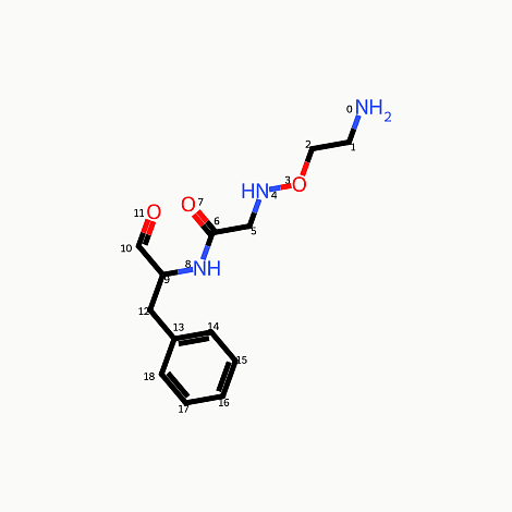 NCCONCC(=O)NC(C=O)Cc1ccccc1